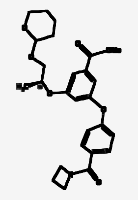 COC(=O)c1cc(Oc2ccc(C(=O)N3CCC3)cc2)cc(O[C@@H](C)COC2CCCCO2)c1